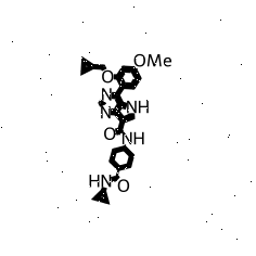 COc1ccc(-c2ncnc3c(C(=O)N[C@H]4CC[C@H](C(=O)NC5CC5)CC4)c[nH]c23)c(OCC2CC2)c1